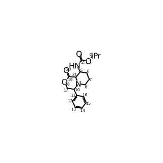 CC(C)OC(=O)NC1CCCN2C(c3ccccc3)COC(=O)C12